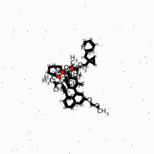 COCOc1cc(-c2ccc3c(N4CC5CCC(C4)N5C(=O)OC(C)(C)C)nc(OCC4(Cc5ccccn5)CC4)nc3c2F)c2c(C#C[Si](C(C)C)(C(C)C)C(C)C)cccc2c1